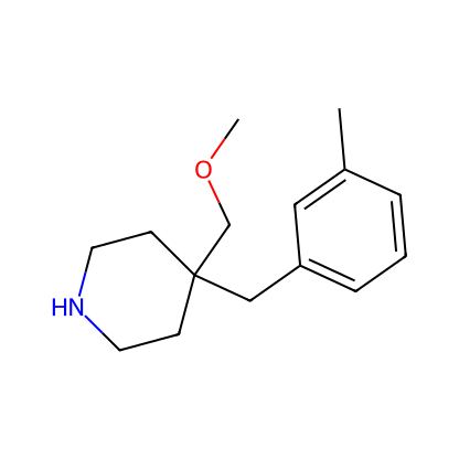 COCC1(Cc2cccc(C)c2)CCNCC1